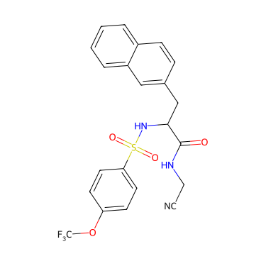 N#CCNC(=O)C(Cc1ccc2ccccc2c1)NS(=O)(=O)c1ccc(OC(F)(F)F)cc1